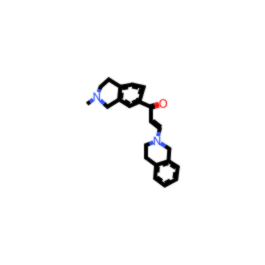 CN1CCc2ccc(C(=O)/C=C/N3CCc4ccccc4C3)cc2C1